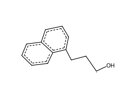 O[CH]CCc1cccc2ccccc12